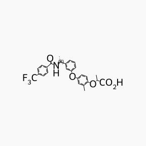 Cc1cc(Oc2cccc([C@@H](C)NC(=O)c3ccc(C(F)(F)F)cc3)c2)ccc1OC(C)C(=O)O